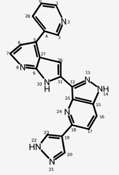 c1cncc(-c2ccnc3[nH]c(-c4n[nH]c5ccc(-c6cn[nH]c6)nc45)cc23)c1